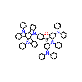 c1ccc(N(c2ccccc2)c2ccc3c(c2)N(c2ccccc2)c2cc(N(c4ccccc4)c4ccccc4)cc4c2B3c2ccc(-n3c5ccccc5c5c6c(c7ccccc7n6-c6ccccc6)c6c(c7ccccc7n6-c6ccccc6)c53)cc2O4)cc1